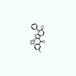 Cc1cccc(C(=O)c2c(N3CCC3)sc3c2ccc(=O)n3-c2ccccc2)c1